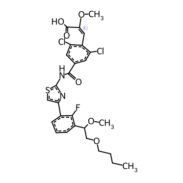 CCCCOCC(OC)c1cccc(-c2csc(NC(=O)c3cc(Cl)c(/C=C(/OC)C(=O)O)c(Cl)c3)n2)c1F